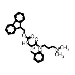 CN(C)CCCNC(=O)[C@H](Cc1ccccc1)NC(=O)OCC1c2ccccc2-c2ccccc21